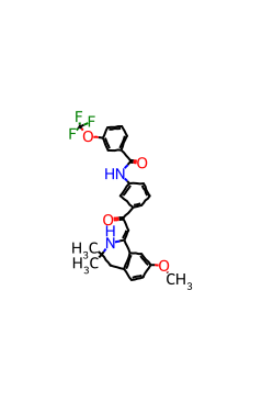 COc1ccc2c(c1)C(=CC(=O)c1cccc(NC(=O)c3cccc(OC(F)(F)F)c3)c1)NC(C)(C)C2